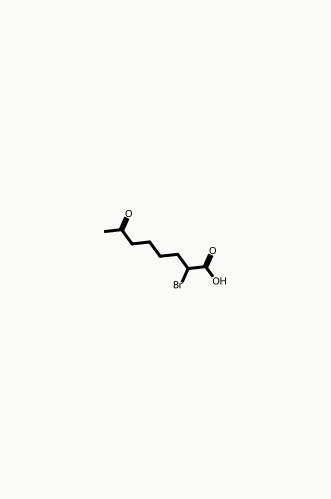 CC(=O)CCCCC(Br)C(=O)O